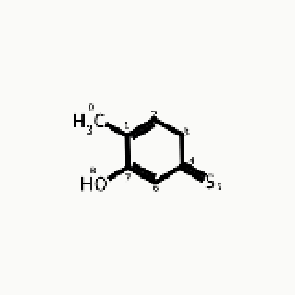 CC1=CCC(=S)C=C1O